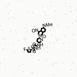 CNc1ccc2c(=O)n(-c3ccc(NC(=O)NS(=O)(=O)c4ccc(F)s4)cn3)cc(N=O)c2c1